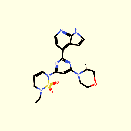 CCN1CC=CN(c2cc(N3CCOC[C@H]3C)nc(-c3ccnc4[nH]ccc34)n2)S1(=O)=O